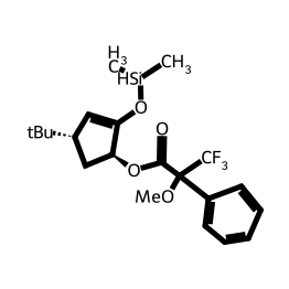 COC(C(=O)O[C@H]1C[C@H](C(C)(C)C)C=C1O[SiH](C)C)(c1ccccc1)C(F)(F)F